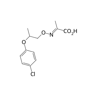 C/C(=N\OCC(C)Oc1ccc(Cl)cc1)C(=O)O